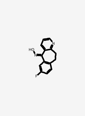 ON=C1c2cc(F)ccc2CCc2ncccc21